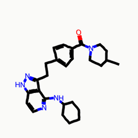 CC1CCN(C(=O)c2ccc(CCc3n[nH]c4ccnc(NC5CCCCC5)c34)cc2)CC1